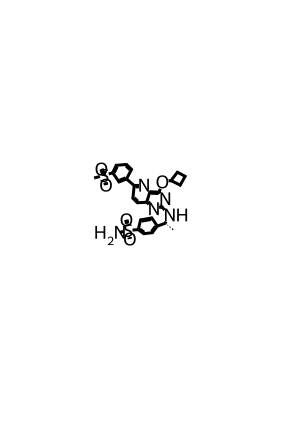 C[C@@H](Nc1nc(OC2CCC2)c2nc(-c3cccc(S(C)(=O)=O)c3)ccc2n1)c1ccc(S(N)(=O)=O)cc1